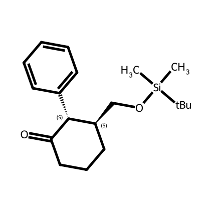 CC(C)(C)[Si](C)(C)OC[C@H]1CCCC(=O)[C@@H]1c1ccccc1